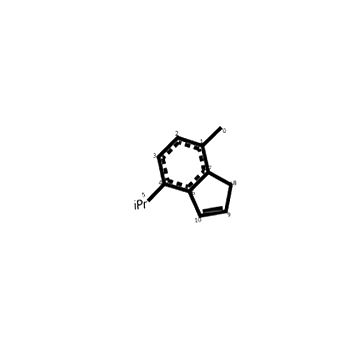 Cc1ccc(C(C)C)c2c1[CH]C=C2